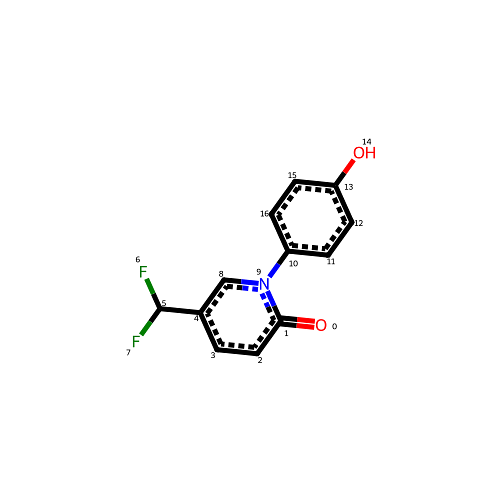 O=c1ccc(C(F)F)cn1-c1ccc(O)cc1